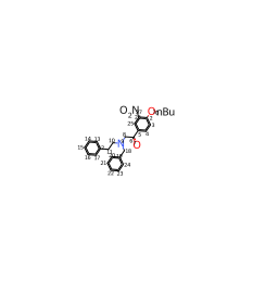 CCCCOc1ccc(C(=O)CN(CCc2ccccc2)Cc2ccccc2)cc1[N+](=O)[O-]